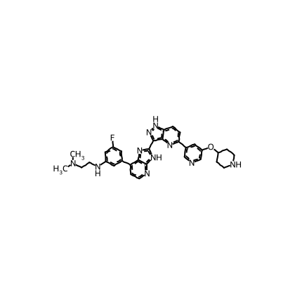 CN(C)CCNc1cc(F)cc(-c2ccnc3[nH]c(-c4n[nH]c5ccc(-c6cncc(OC7CCNCC7)c6)nc45)nc23)c1